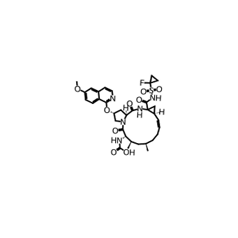 COc1ccc2c(O[C@@H]3C[C@H]4C(=O)NC5(C(=O)NS(=O)(=O)C6(F)CC6)C[C@H]5/C=C\CC[C@@H](C)C[C@@H](C)[C@H](NC(=O)O)C(=O)N4C3)nccc2c1